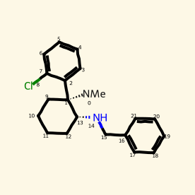 CN[C@@]1(c2ccccc2Cl)CCCC[C@H]1NCc1ccccc1